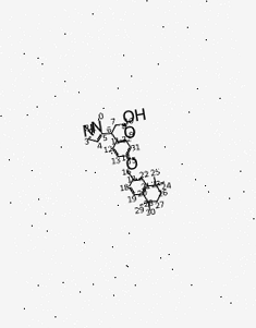 Cn1nccc1C(CC(=O)O)c1ccc(OCc2ccc3c(c2)C(C)(C)CCC3(C)C)cc1